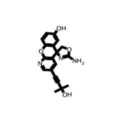 CC(C)(O)C#Cc1cnc2c(c1)C1(COC(N)=N1)c1cc(O)ccc1O2